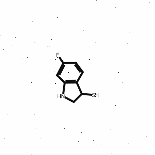 Fc1ccc2c(c1)NCC2S